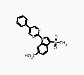 CS(=O)(=O)c1cn(-c2ncc(-c3ccccc3)cn2)c2cc(C(=O)O)ccc12